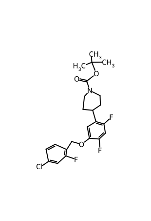 CC(C)(C)OC(=O)N1CCC(c2cc(OCc3ccc(Cl)cc3F)c(F)cc2F)CC1